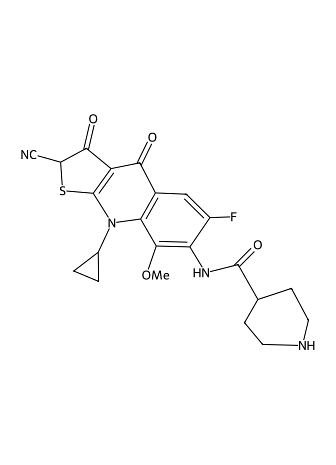 COc1c(NC(=O)C2CCNCC2)c(F)cc2c(=O)c3c(n(C4CC4)c12)SC(C#N)C3=O